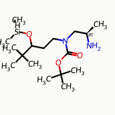 C[C@@H](N)CN(CCC(O[SiH](C)C)C(C)(C)C)C(=O)OC(C)(C)C